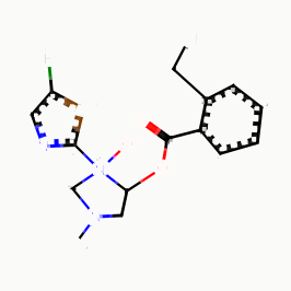 CCc1ccccc1C(=O)OC1CN(C)C[N+]1([O-])c1ncc(Br)s1